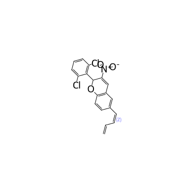 C=C/C=C\c1ccc2c(c1)C=C([N+](=O)[O-])C(c1c(Cl)cccc1Cl)O2